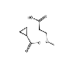 COCCC(=O)O.O=C(Cl)C1CC1